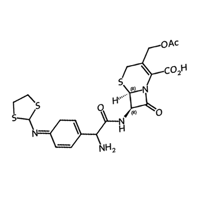 CC(=O)OCC1=C(C(=O)O)N2C(=O)[C@@H](NC(=O)C(N)C3=CCC(=NC4SCCS4)C=C3)[C@H]2SC1